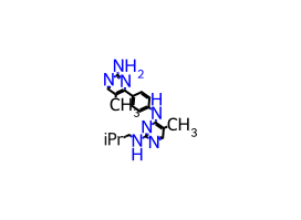 Cc1cnc(NCC(C)C)nc1Nc1ccc(-c2nc(N)ncc2C)cc1